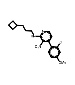 COc1ccc(-c2ccnc(NCCCC3CCC3)c2[N+](=O)[O-])c(Cl)c1